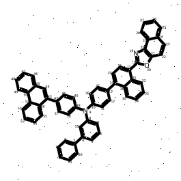 c1ccc(-c2cccc(N(c3ccc(-c4ccc(-c5nc6c(ccc7ccccc76)o5)c5ccccc45)cc3)c3ccc(-c4cc5ccccc5c5ccccc45)cc3)c2)cc1